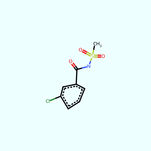 CS(=O)(=O)[N]C(=O)c1cccc(Cl)c1